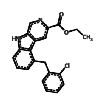 CCOC(=O)c1cc2c(cn1)[nH]c1cccc(Cc3ccccc3Cl)c12